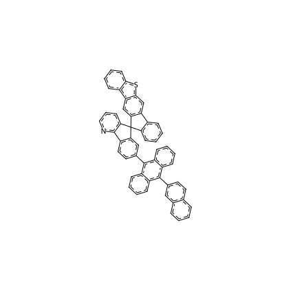 c1ccc2c(c1)-c1cc3sc4ccccc4c3cc1C21c2cc(-c3c4ccccc4c(-c4ccc5ccccc5c4)c4ccccc34)ccc2-c2ncccc21